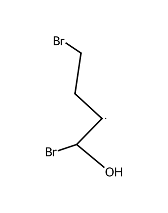 OC(Br)[CH]CCBr